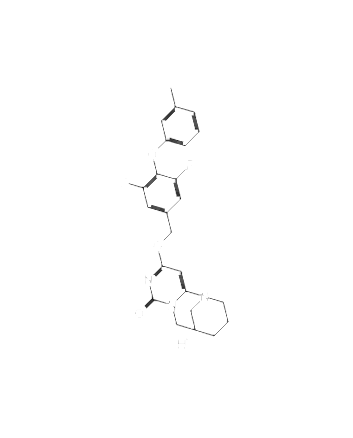 Cc1cccc(Oc2c(F)cc(COc3cc4n(c(=O)n3)C[C@@H]3CCCN4C3)cc2F)c1